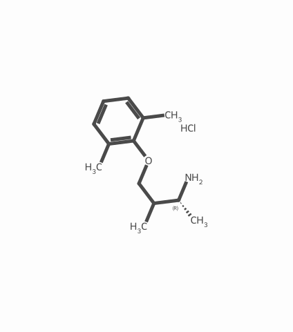 Cc1cccc(C)c1OCC(C)[C@@H](C)N.Cl